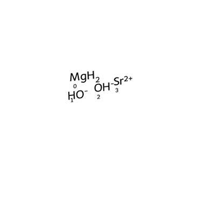 [MgH2].[OH-].[OH-].[Sr+2]